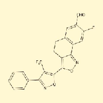 O=Cc1cc2c(cc1F)-c1noc(-c3onc(-c4ccccc4)c3C(F)(F)F)c1CC2